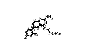 COCCOc1nc(N)nc2ccc(-c3ccc(F)cc3C)cc12